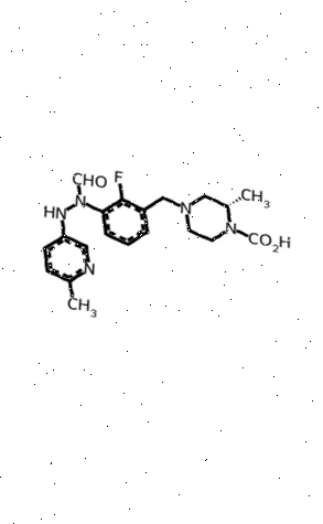 Cc1ccc(NN(C=O)c2cccc(CN3CCN(C(=O)O)[C@@H](C)C3)c2F)cn1